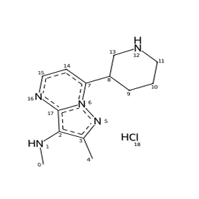 CNc1c(C)nn2c(C3CCCNC3)ccnc12.Cl